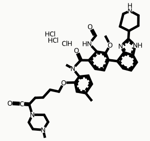 COc1c(-c2cccc3[nH]c(C4CCNCC4)nc23)ccc(C(=O)N(C)c2ccc(C)cc2OCCCCC(=C=O)N2CCN(C)CC2)c1NC=O.Cl.Cl.Cl